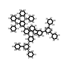 c1ccc(-c2cc(-c3ccc(-n4c5ccccc5c5cc(-c6nc(-c7ccccc7)nc(-c7ccccc7)n6)ccc54)c(-c4ccc(-c5cc6c7c(c5)N(c5ccccc5)c5ccccc5B7c5ccccc5N6c5ccccc5)cc4)c3)nc(-c3ccccc3)n2)cc1